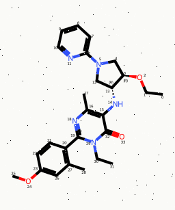 CCO[C@@H]1CN(c2ccccn2)C[C@H]1Nc1c(C)nc(-c2ccc(OC)cc2C)n(CC)c1=O